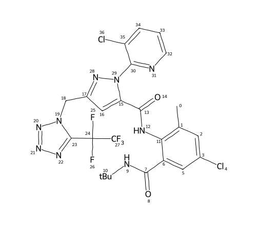 Cc1cc(Cl)cc(C(=O)NC(C)(C)C)c1NC(=O)c1cc(Cn2nnnc2C(F)(F)C(F)(F)F)nn1-c1ncccc1Cl